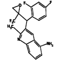 Cc1nc2cccc(N)c2cc1C(c1ccc(F)cc1F)C1(C(F)(F)F)CO1